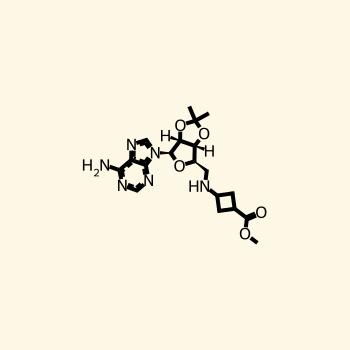 COC(=O)C1CC(NC[C@H]2O[C@@H](n3cnc4c(N)ncnc43)[C@@H]3OC(C)(C)O[C@@H]32)C1